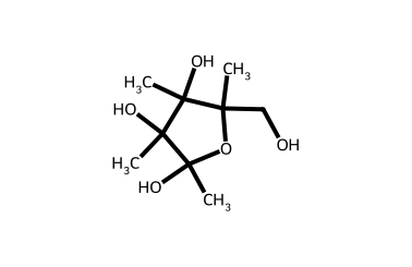 CC1(O)OC(C)(CO)C(C)(O)C1(C)O